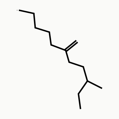 [CH2]CCCCC(=C)CCC(C)CC